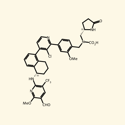 COc1cc(-c2nccc(-c3cccc4c3CCC[C@@H]4Nc3nc(OC)c(C=O)cc3C(F)(F)F)c2Cl)ccc1CN(C[C@@H]1CCC(=O)N1)C(=O)O